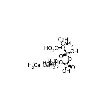 O.O.O=C(O)OP(=O)(O)OP(=O)(O)O.[CaH2].[CaH2].[CaH2].[CaH2].[CaH2]